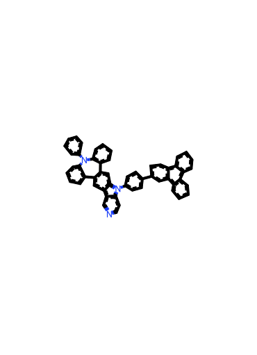 c1ccc(N2c3ccccc3-c3cc4c5cnccc5n(-c5ccc(-c6ccc7c8ccccc8c8ccccc8c7c6)cc5)c4cc3-c3ccccc32)cc1